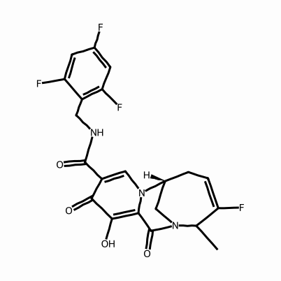 CC1C(F)=CC[C@@H]2CN1C(=O)c1c(O)c(=O)c(C(=O)NCc3c(F)cc(F)cc3F)cn12